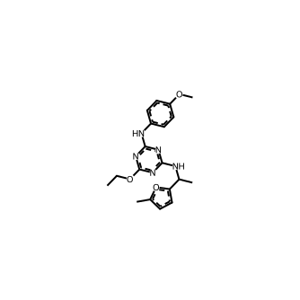 CCOc1nc(Nc2ccc(OC)cc2)nc(NC(C)c2ccc(C)o2)n1